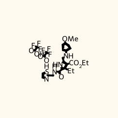 CCOC(=O)c1c(CNc2ccc(OC)cc2)[nH]c(C(=O)NCc2nccs2)c1CC.O=C(O)C(F)(F)F.O=C(O)C(F)(F)F